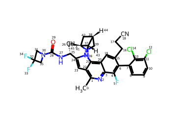 Cc1nc2c(F)c(-c3cccc(Cl)c3Cl)c(CCC#N)cc2c2c1cc([C@@H](C)NC(=O)N1CC(F)(F)C1)n2[C@H]1[C@H]2CN[C@@H]1C2